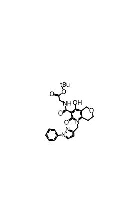 CC(C)(C)OC(=O)CNC(=O)c1c(O)c2c(n(Cc3ccn(-c4ccccc4)n3)c1=O)CCOC2